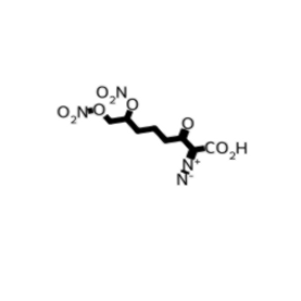 [N-]=[N+]=C(C(=O)O)C(=O)CCCC(CO[N+](=O)[O-])O[N+](=O)[O-]